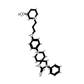 C[C@H]1CCCN(CCCOc2ccc(N3CCC4(CC3)CN(c3ccccc3)C(=O)O4)cc2)C1